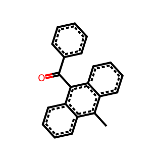 Cc1c2ccccc2c(C(=O)c2ccccc2)c2ccccc12